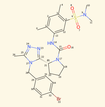 Cc1cc(C)c(S(=O)(=O)N(C)C)cc1NC(=O)N1CCC[C@@H]1c1nnc(C)n1Cc1ccc(Br)cc1